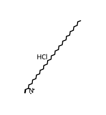 C=CC(CCCCCCCCCCCCCCCCCCCCCCCCCCCC)N(C)C.Cl